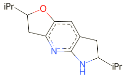 CC(C)C1Cc2cc3c(nc2N1)CC(C(C)C)O3